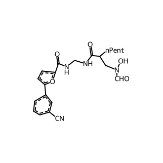 CCCCCC(CN(O)C=O)C(=O)NCNC(=O)c1ccc(-c2cccc(C#N)c2)o1